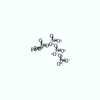 O=[N+]([O-])[O-].O=[N+]([O-])[O-].O=[N+]([O-])[O-].O=[N+]([O-])[O-].[Pd+2].[Pd+2]